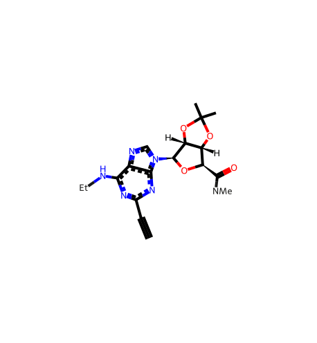 C#Cc1nc(NCC)c2ncn([C@@H]3O[C@H](C(=O)NC)[C@H]4OC(C)(C)O[C@H]43)c2n1